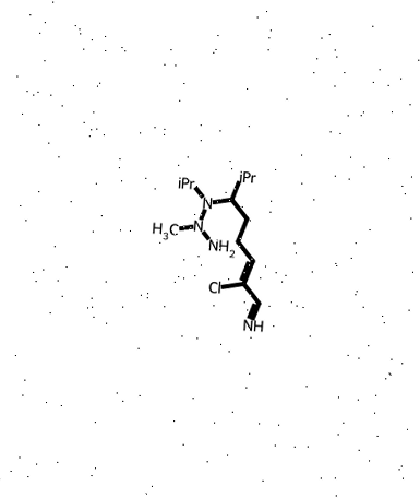 CC(C)C(CC/C=C(\Cl)C=N)N(C(C)C)N(C)N